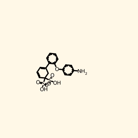 Nc1ccc(Oc2ccccc2C2=CC=CC(S(=O)(=O)O)(S(=O)(=O)O)C2)cc1